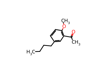 CCCCc1ccc(OC)c(C(C)=O)c1